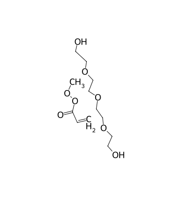 C=CC(=O)OOC.OCCOCCOCCOCCO